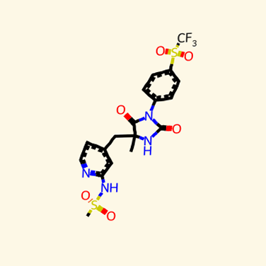 CC1(Cc2ccnc(NS(C)(=O)=O)c2)NC(=O)N(c2ccc(S(=O)(=O)C(F)(F)F)cc2)C1=O